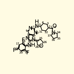 O=C(C1CCC(Nc2ncc3nc(Nc4c(F)cc(F)cc4F)n(C4CCOC4)c3n2)CC1)N1CCCC1